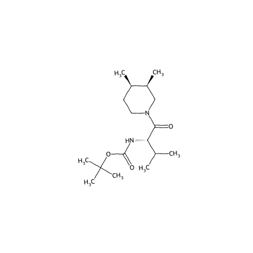 CC(C)[C@H](NC(=O)OC(C)(C)C)C(=O)N1CC[C@@H](C)[C@@H](C)C1